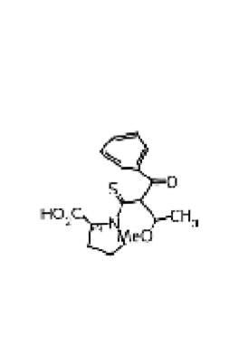 COC(C)C(C(=O)c1ccccc1)C(=S)N1CCC[C@H]1C(=O)O